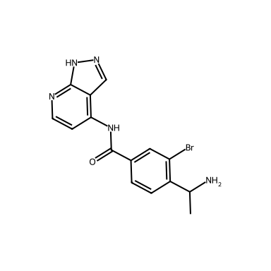 CC(N)c1ccc(C(=O)Nc2ccnc3[nH]ncc23)cc1Br